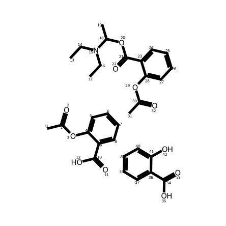 CC(=O)Oc1ccccc1C(=O)O.CCN(CC)C(C)OC(=O)c1ccccc1OC(C)=O.O=C(O)c1ccccc1O